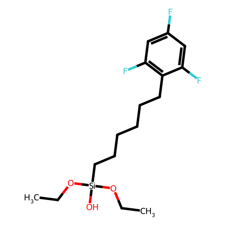 CCO[Si](O)(CCCCCCc1c(F)cc(F)cc1F)OCC